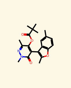 Cc1ccc2oc(C)c(-c3c(OC(=O)C(C)(C)C)c(C)nn(C)c3=O)c2c1